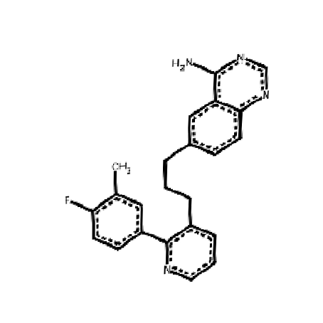 Cc1cc(-c2ncccc2CCCc2ccc3ncnc(N)c3c2)ccc1F